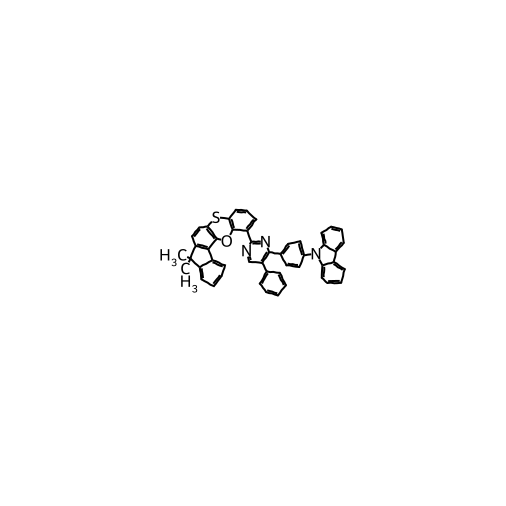 CC1(C)c2ccccc2-c2c1ccc1c2Oc2c(cccc2-c2ncc(-c3ccccc3)c(-c3ccc(-n4c5ccccc5c5ccccc54)cc3)n2)S1